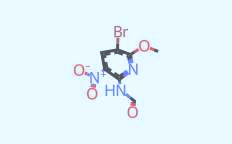 COc1nc(NC=O)c([N+](=O)[O-])cc1Br